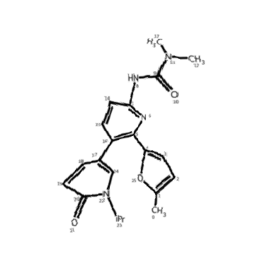 Cc1ccc(-c2nc(NC(=O)N(C)C)ccc2-c2ccc(=O)n(C(C)C)c2)o1